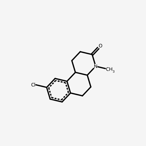 CN1C(=O)CCC2c3cc(Cl)ccc3CCC21